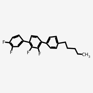 CCCCCc1ccc(-c2ccc(-c3ccc(F)c(F)c3)c(F)c2F)cc1